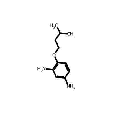 CC(C)CCOc1ccc(N)cc1N